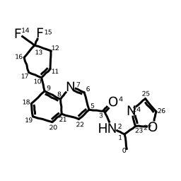 CC(NC(=O)c1cnc2c(C3=CCC(F)(F)CC3)cccc2c1)c1ncco1